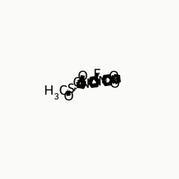 CC(=O)SC[C@H]1CN(c2ccc(N3CCC4(CC3)OCCO4)c(F)c2)C(=O)O1